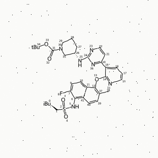 CC[C@H](C)CS(=O)(=O)Nc1c(F)ccc2c(Oc3ncccc3-c3ccnc(N[C@H]4CCCN(C(=O)OC(C)(C)C)C4)n3)c(C)ccc12